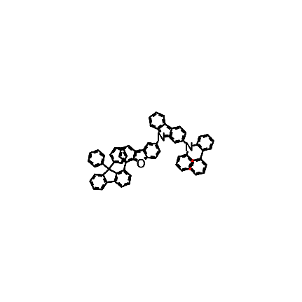 c1ccc(-c2ccccc2N(c2ccccc2)c2ccc3c4ccccc4n(-c4ccc5oc6c(-c7cccc8c7C(c7ccccc7)(c7ccccc7)c7ccccc7-8)cccc6c5c4)c3c2)cc1